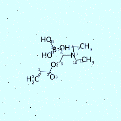 C=CC(=O)OCCN(CC)CC.OB(O)O